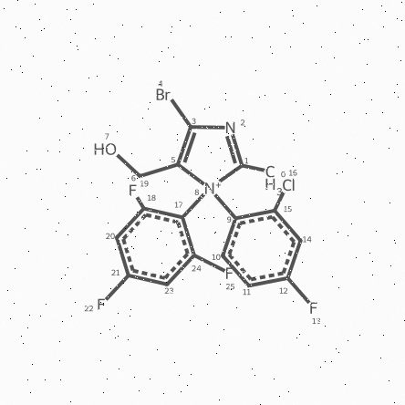 CC1=NC(Br)=C(CO)[N+]1(c1ccc(F)cc1Cl)c1c(F)cc(F)cc1F